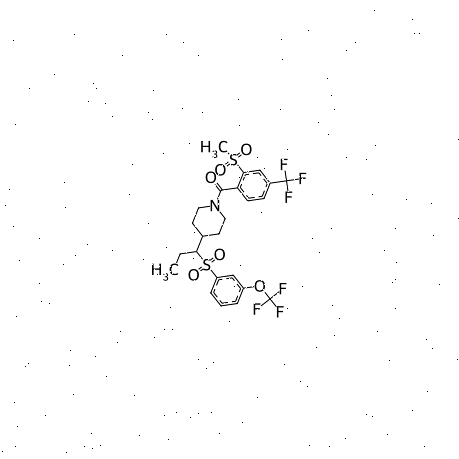 CCC(C1CCN(C(=O)c2ccc(C(F)(F)F)cc2S(C)(=O)=O)CC1)S(=O)(=O)c1cccc(OC(F)(F)F)c1